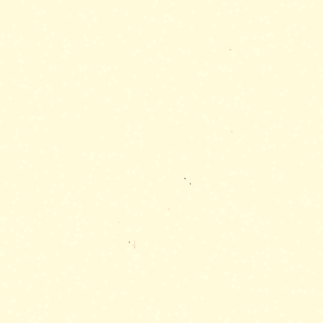 Cc1cc(Br)ccc1[C@@H](C)COC(=O)Nc1cccc(CN(C)C(=O)OC(C)(C)C)c1